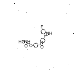 O=C(COc1ccc(C(=O)N2CC=C(c3c[nH]c4cc(F)ccc34)CC2)cc1)NO